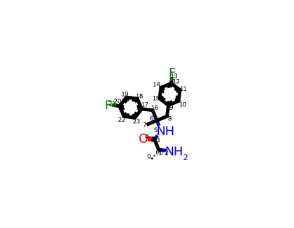 C[C@@H](N)C(=O)NC(C)(Cc1ccc(F)cc1)Cc1ccc(F)cc1